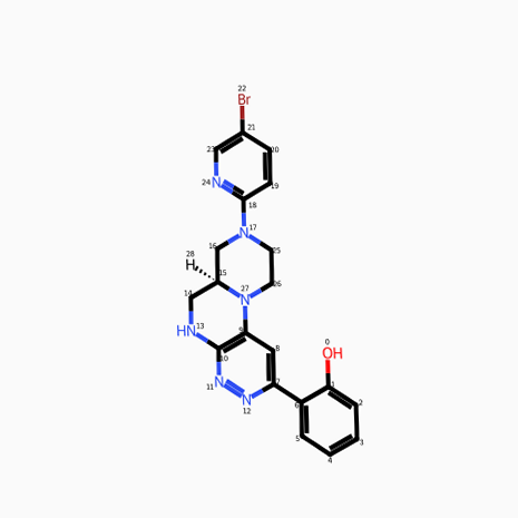 Oc1ccccc1-c1cc2c(nn1)NC[C@H]1CN(c3ccc(Br)cn3)CCN21